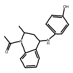 CC(=O)N1c2ccccc2C(Nc2ccc(O)cc2)CC1C